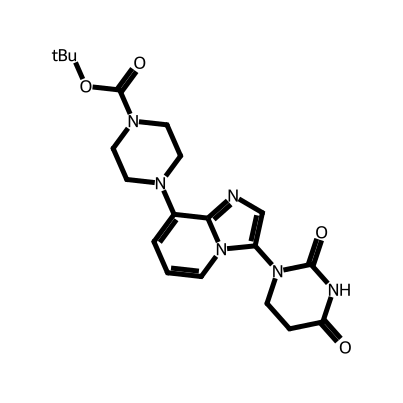 CC(C)(C)OC(=O)N1CCN(c2cccn3c(N4CCC(=O)NC4=O)cnc23)CC1